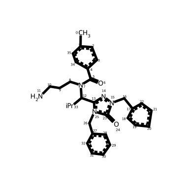 Cc1ccc(C(=O)N(CCCN)C(c2nn(Cc3ccccc3)c(=O)n2Cc2ccccc2)C(C)C)cc1